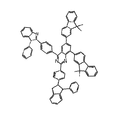 CC1(C)c2ccccc2-c2ccc(-c3cc(-c4ccc5c(c4)C(C)(C)c4ccccc4-5)c4nc(-c5ccc(C6Cc7ccccc7C6c6ccccc6)cc5)nc(-c5ccc(C6=Nc7ccccc7C6c6ccccc6)cc5)c4c3)cc21